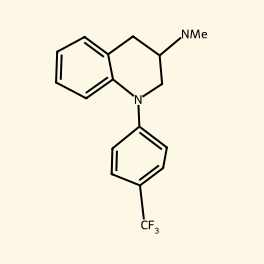 CNC1Cc2ccccc2N(c2ccc(C(F)(F)F)cc2)C1